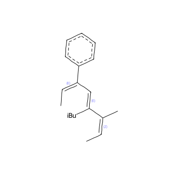 C\C=C(C)/C(=C/C(=C\C)c1ccccc1)C(C)CC